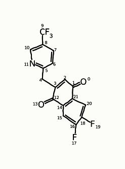 O=C1C=C(Cc2ccc(C(F)(F)F)cn2)C(=O)c2cc(F)c(F)cc21